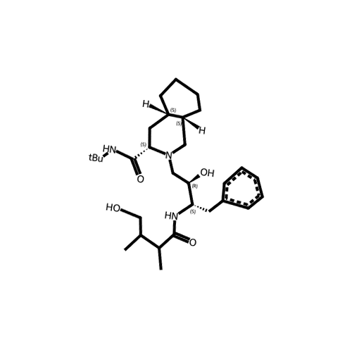 CC(CO)C(C)C(=O)N[C@@H](Cc1ccccc1)[C@H](O)CN1C[C@H]2CCCC[C@H]2C[C@H]1C(=O)NC(C)(C)C